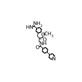 COC(=O)[C@@H](CNC(=O)c1ccc(-c2ccncc2)cc1)Cc1cccc(C(=N)N)c1